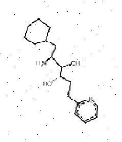 N[C@@H](CC1CCCCC1)[C@@H](O)[C@@H](O)CCc1ccccn1